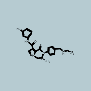 C[C@H]1Cn2ncc(C(=O)Nc3cccc(C#N)c3)c2C(=O)N1c1ccc(CNCC(F)(F)F)cc1